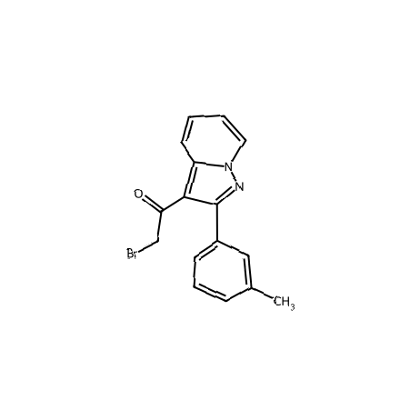 Cc1cccc(-c2nn3ccccc3c2C(=O)CBr)c1